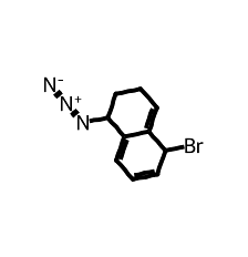 [N-]=[N+]=NC1CCC=C2C1=CC=CC2Br